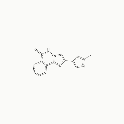 Cn1cc(-c2cc3[nH]c(=O)c4ccccc4n3n2)cn1